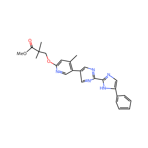 COC(=O)C(C)(C)COc1cc(C)c(-c2cnc(-c3ncc(-c4ccccc4)[nH]3)nc2)cn1